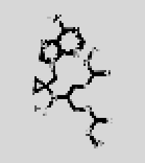 CC(C)OC(=O)OC[C](COC(=O)OC(C)C)N(C)C1(Cn2cnc3c(N)ncnc32)CC1